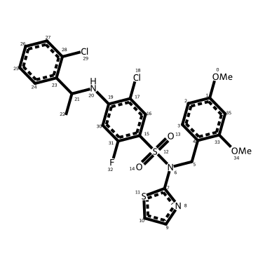 COc1ccc(CN(c2nccs2)S(=O)(=O)c2cc(Cl)c(NC(C)c3ccccc3Cl)cc2F)c(OC)c1